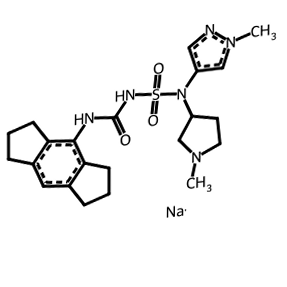 CN1CCC(N(c2cnn(C)c2)S(=O)(=O)NC(=O)Nc2c3c(cc4c2CCC4)CCC3)C1.[Na]